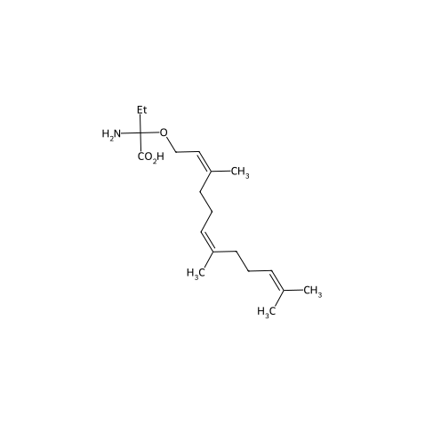 CCC(N)(OCC=C(C)CCC=C(C)CCC=C(C)C)C(=O)O